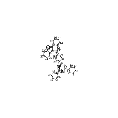 c1ccc(-c2cc(-c3ccc(-c4nc5ccccc5c5oc6ccccc6c45)nc3)nc(-c3ccccc3)n2)cc1